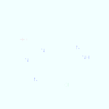 CCC(CC)n1c(O)nc2ncc(Cl)c(-c3cn[nH]c3)c21